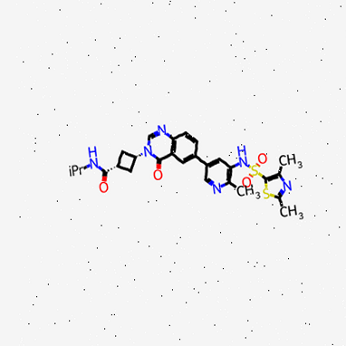 Cc1nc(C)c(S(=O)(=O)Nc2cc(-c3ccc4ncn([C@H]5C[C@@H](C(=O)NC(C)C)C5)c(=O)c4c3)cnc2C)s1